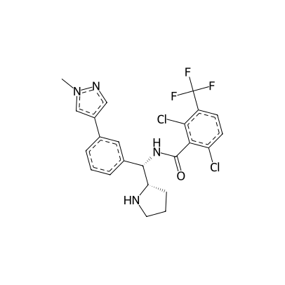 Cn1cc(-c2cccc([C@H](NC(=O)c3c(Cl)ccc(C(F)(F)F)c3Cl)[C@@H]3CCCN3)c2)cn1